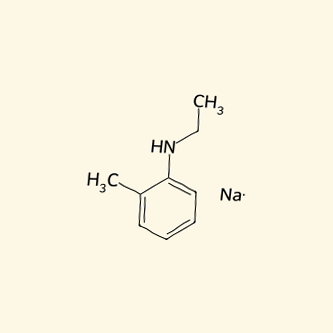 CCNc1ccccc1C.[Na]